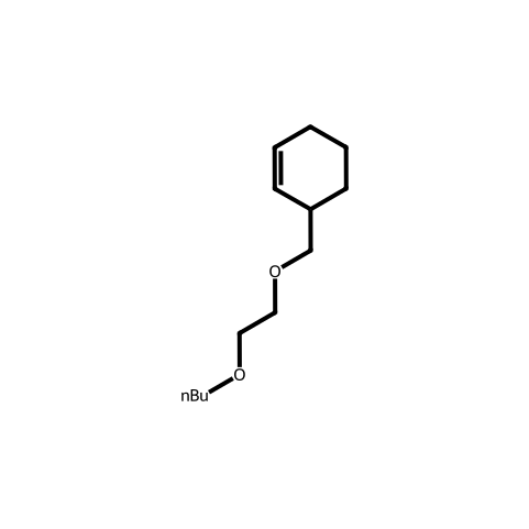 CCCCOCCOCC1C=CCCC1